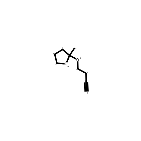 C#CCCOC1(C)CCCO1